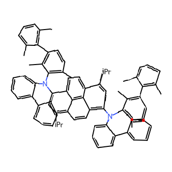 Cc1cccc(C)c1-c1ccc(C)c(N(c2ccccc2-c2ccccc2)c2cc(C(C)C)c3ccc4c(N(c5ccccc5-c5ccccc5)c5c(C)ccc(-c6c(C)cccc6C)c5C)cc(C(C)C)c5ccc2c3c54)c1C